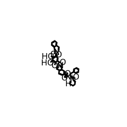 O=C(c1cc(S(=O)(=O)N2CCc3ccccc3C2)c(O)c(O)c1O)N1CCc2ccc(S(=O)(=O)N[C@@H](Cc3ccccc3)C(=O)N3CCCCC3)cc2C1